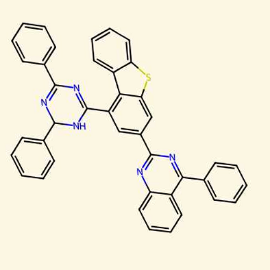 c1ccc(C2=NC(c3ccccc3)NC(c3cc(-c4nc(-c5ccccc5)c5ccccc5n4)cc4sc5ccccc5c34)=N2)cc1